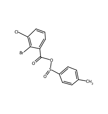 Cc1ccc(S(=O)OC(=O)c2cccc(Cl)c2Br)cc1